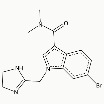 CN(C)C(=O)c1cn(CC2=NCCN2)c2cc(Br)ccc12